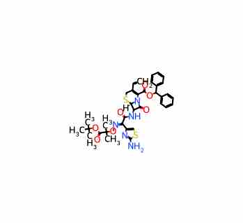 C=CC1=C(C(=O)OC(c2ccccc2)c2ccccc2)N2C(=O)C(NC(=O)/C(=N/OC(C)(C)C(=O)OC(C)(C)C)c3csc(N)n3)[C@H]2SC1